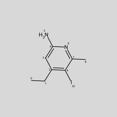 CCc1cc(N)nc(C)c1I